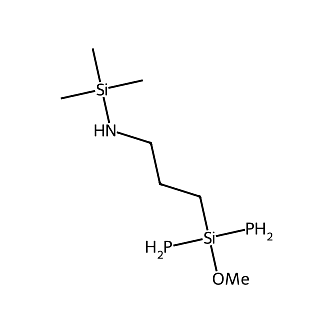 CO[Si](P)(P)CCCN[Si](C)(C)C